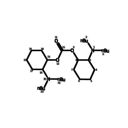 CCCCN(CCCC)C1CCCCC1OC(=O)OC1CCCCC1N(CCCC)CCCC